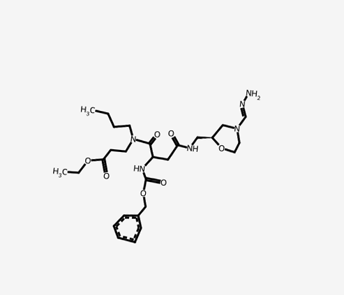 CCCCN(CCC(=O)OCC)C(=O)C(CC(=O)NC[C@H]1CN(C=NN)CCO1)NC(=O)OCc1ccccc1